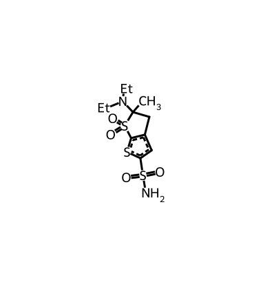 CCN(CC)C1(C)Cc2cc(S(N)(=O)=O)sc2S1(=O)=O